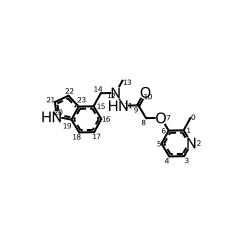 Cc1ncccc1OCC(=O)NN(C)Cc1cccc2[nH]ccc12